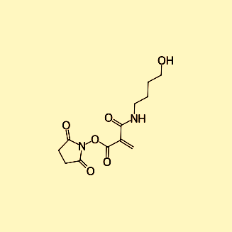 C=C(C(=O)NCCCCO)C(=O)ON1C(=O)CCC1=O